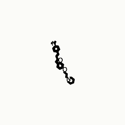 CN(C)c1ccc(C=Cc2cc3ccc(OCCCN4CCCCC4)cc3o2)cc1